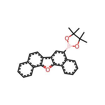 CC1(C)OB(c2cc3c4ccc5ccccc5c4oc3c3ccccc23)OC1(C)C